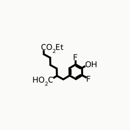 CCOC(=O)CCCCC(Cc1cc(F)c(O)c(F)c1)C(=O)O